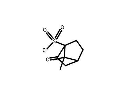 CC1(C)C2CCC1(S(=O)(=O)Cl)C(=O)C2